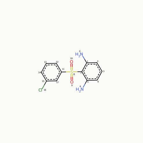 Nc1cccc(N)c1S(=O)(=O)c1cccc(Cl)c1